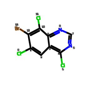 Clc1cc2c(Cl)ncnc2c(Cl)c1Br